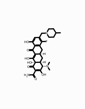 CC1CCN(Cc2cc(O)c3c(c2F)C[C@H]2C[C@H]4[C@H](N(C)C)C(O)=C(C(N)=O)C(=O)[C@@]4(O)C(O)=C2C3=O)CC1